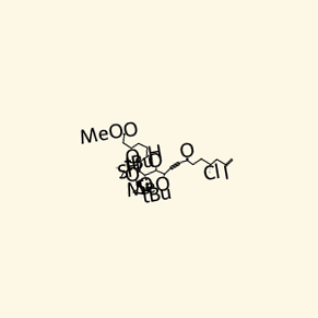 C=C(I)C[C@H](Cl)CCC(=O)C#CC(OC)C1O[C@H]2CCC(CC(=O)OC)O[C@@H]2C(O[Si](C)(C)C(C)(C)C)C1O[Si](C)(C)C(C)(C)C